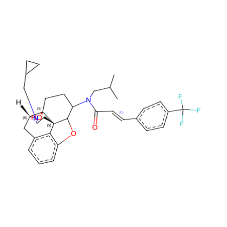 CC(C)CN(C(=O)/C=C/c1ccc(C(F)(F)F)cc1)C1CC[C@@]2(O)[C@H]3Cc4cccc5c4[C@@]2(CCN3CC2CC2)C1O5